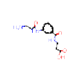 NCCC(=O)Nc1cccc(C(=O)NCCC(=O)O)c1